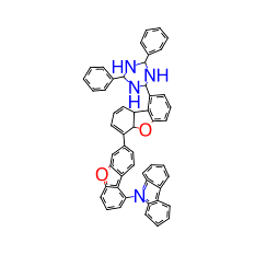 C1=CC2c3c(cccc3C3NC(c4ccccc4)NC(c4ccccc4)N3)OC2C(c2ccc3c(c2)oc2cccc(-n4c5ccccc5c5ccccc54)c23)=C1